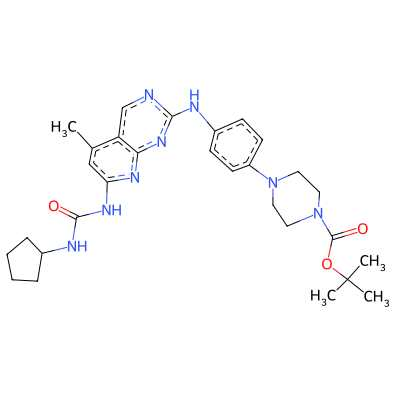 Cc1cc(NC(=O)NC2CCCC2)nc2nc(Nc3ccc(N4CCN(C(=O)OC(C)(C)C)CC4)cc3)ncc12